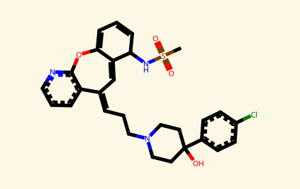 CS(=O)(=O)NC1C=CC=C2Oc3ncccc3C(=CCCN3CCC(O)(c4ccc(Cl)cc4)CC3)C=C21